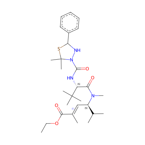 CCOC(=O)/C(C)=C/[C@H](C(C)C)N(C)C(=O)[C@@H](NC(=O)N1NC(c2ccccc2)SC1(C)C)C(C)(C)C